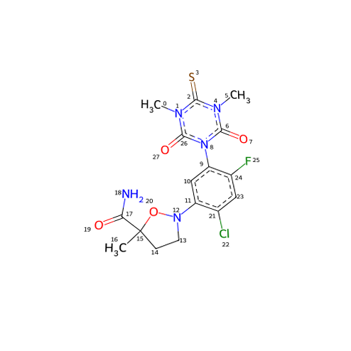 Cn1c(=S)n(C)c(=O)n(-c2cc(N3CCC(C)(C(N)=O)O3)c(Cl)cc2F)c1=O